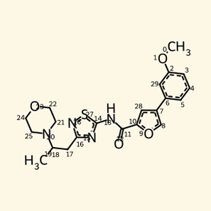 COc1cccc(-c2coc(C(=O)Nc3nc(CC(C)N4CCOCC4)ns3)c2)c1